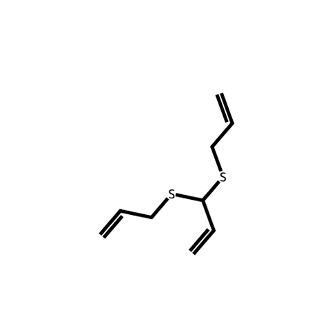 C=CCS[C](C=C)SCC=C